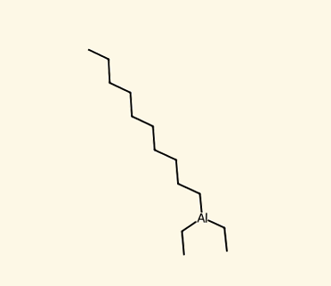 CCCCCCCCC[CH2][Al]([CH2]C)[CH2]C